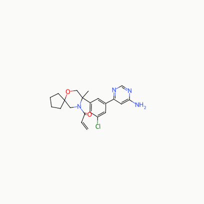 C=CC(=O)N1CC2(CCCC2)OCC1(C)c1cc(Cl)cc(-c2cc(N)ncn2)c1